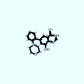 O=c1[nH]cnc2c(O)cc(-c3ccccc3N3CCOCC3)cc12